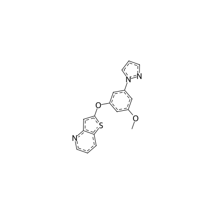 COc1cc(Oc2cc3ncccc3s2)cc(-n2cccn2)c1